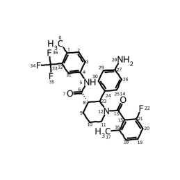 Cc1ccc(NC(=O)[C@H]2CCCN(C(=O)c3c(C)cccc3F)C2c2ccc(N)cc2)cc1C(F)(F)F